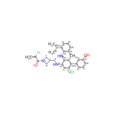 C=C(F)C(=O)N1CC(CNc2cc(Cl)c(-c3cccc(O)c3)cc2Nc2c(C)cccc2C(C)C)C1